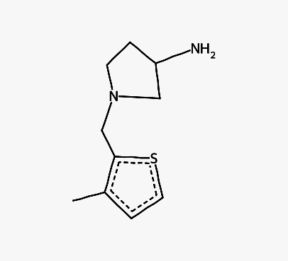 Cc1ccsc1CN1CCC(N)C1